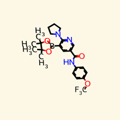 CC1(C)OB(c2cc(C(=O)Nc3ccc(OC(F)(F)F)cc3)cnc2N2CCCC2)OC1(C)C